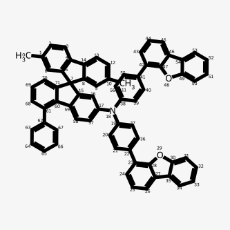 Cc1ccc2c(c1)C1(c3cc(C)ccc3-2)c2cc(N(c3ccc(-c4cccc5c4oc4ccccc45)cc3)c3ccc(-c4cccc5c4oc4ccccc45)cc3)ccc2-c2c(-c3ccccc3)cccc21